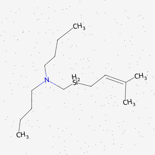 CCCCN(CCCC)C[SiH2]CC=C(C)C